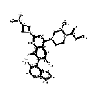 C=CC(=O)N1CCN(c2nc(N3CC(N(CC)CC)C3)nc3c(F)c(-c4c(C)ccc5[nH]ncc45)c(Cl)cc23)C[C@H]1C